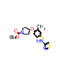 Cc1cc(SNc2cscn2)ccc1OC1CCN(C(=O)OC(C)(C)C)CC1